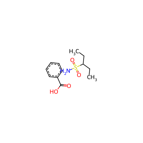 CCC(CC)S(N)(=O)=O.O=C(O)c1ccccc1